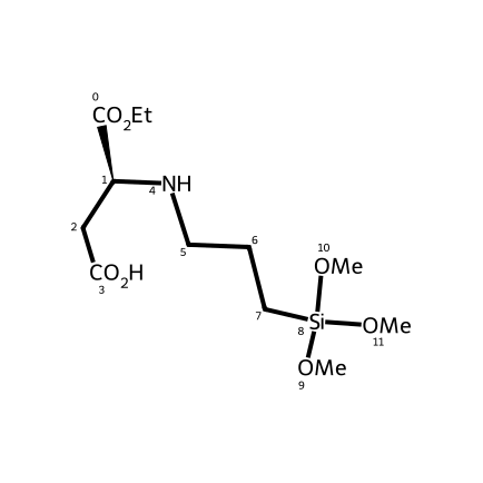 CCOC(=O)[C@H](CC(=O)O)NCCC[Si](OC)(OC)OC